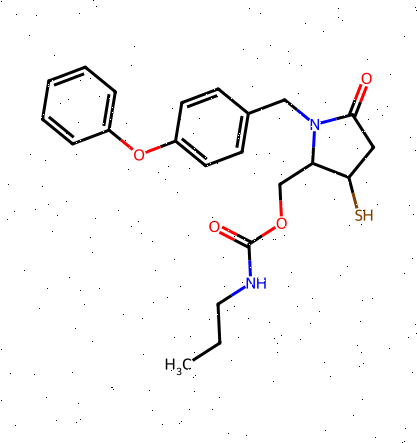 CCCNC(=O)OCC1C(S)CC(=O)N1Cc1ccc(Oc2ccccc2)cc1